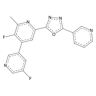 Cc1nc(-c2nnc(-c3cccnc3)o2)cc(-c2cncc(F)c2)c1F